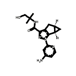 CC(C)(CO)NC(=O)c1nn(-c2cc(N)ccn2)c2c1C[C@H]1C[C@@H]21